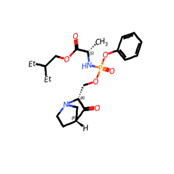 CCC(CC)COC(=O)[C@H](C)NP(=O)(OC[C@@H]1C(=O)[C@@H]2CCN1C2)Oc1ccccc1